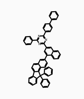 c1ccc(-c2ccc(-c3nc(-c4ccccc4)nc(-c4cc(-c5ccc6c7c(ccc6c5)-c5ccccc5C7(c5ccccc5)c5ccccc5)c5ccccc5c4)n3)cc2)cc1